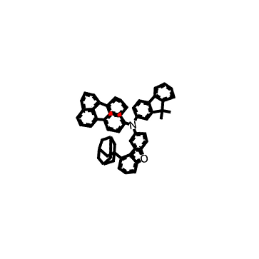 CC1(C)c2ccccc2-c2ccc(N(c3ccc(-c4cccc5cccc(-c6ccccc6)c45)cc3)c3ccc4oc5cccc(C67CC8CC(CC(C8)C6)C7)c5c4c3)cc21